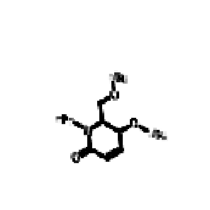 CCCCOCC1C(OCCCC)C=CC(=O)N1CCC